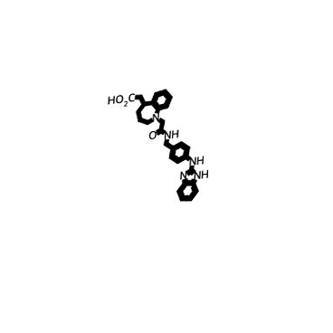 O=C(O)CC1CCCN(CC(=O)NCc2ccc(Nc3nc4ccccc4[nH]3)cc2)c2ccccc21